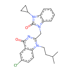 CC(C)CCn1c(Cn2c(=O)n(C3CC3)c3ccccc32)nc(=O)c2cc(Cl)ccc21